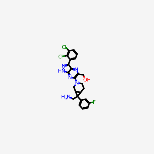 NCC1(c2cccc(F)c2)C2CCN(c3nc4[nH]nc(-c5cccc(Cl)c5Cl)c4nc3CO)CC21